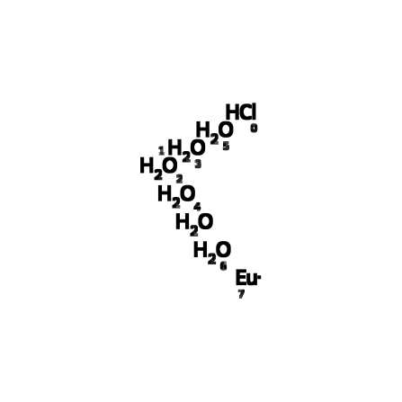 Cl.O.O.O.O.O.O.[Eu]